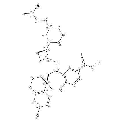 COC(=O)c1ccc2c(c1)N(C[C@@H]1CC[C@H]1[C@@H]1C[C@H](OC[C@@H](C)O)CCO1)C[C@@]1(CCCc3cc(Cl)ccc31)CO2